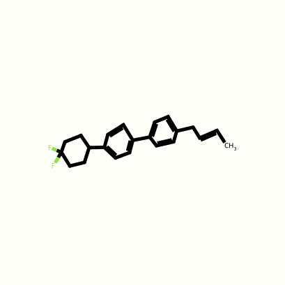 CC=CCc1ccc(-c2ccc(C3CCC(F)(F)CC3)cc2)cc1